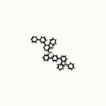 C1=CCC(C2C=C(C3CCC(Nc4ccccc4-c4ccc(-c5cccc6c5c5c(n6C6C=CC=CC6)CCC=C5)cc4)=C4OC5CCC=CC5C43)C=CC2)C=C1